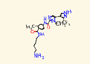 Cc1cc(NC(=O)c2ncc(-c3c[nH]nc3C(F)(F)F)n2C)ccc1C(=O)NCCCCCN